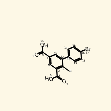 Cc1c(C(=O)O)cc(C(=O)O)cc1-c1ccc(Br)cc1